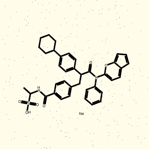 CC(NC(=O)c1ccc(CC(C(=O)N(c2ccccc2)c2ccc3cccc-3o2)c2ccc(C3CCCCC3)cc2)cc1)S(=O)(=O)O.[Na]